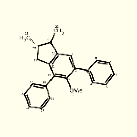 COc1c(-c2ccccc2)cc2c(c1-c1ccccc1)C[C@H](C)C2C